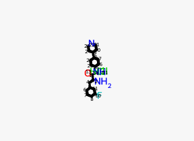 Cl.Cl.NC(=Cc1cccc(F)c1)C(=O)Nc1ccc(-c2ccncc2)cc1